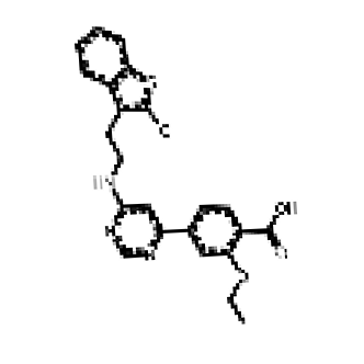 CCOc1cc(-c2cc(NCCc3c(Cl)sc4ccccc34)ncn2)ccc1C(=O)O